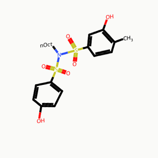 CCCCCCCCN(S(=O)(=O)c1ccc(O)cc1)S(=O)(=O)c1ccc(C)c(O)c1